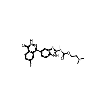 CN(C)CCOC(=O)Nc1nc2cc(-c3n[nH]c(=O)c4ccc(F)cc34)ccc2[nH]1